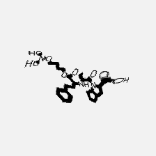 CC(NC(CCc1ccccc1)C(=O)OCCCCON(O)O)C(=O)N1C(C(=O)O)CC2CCCC21